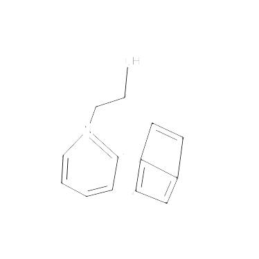 CCC[n+]1ccccc1.[I-].c1cc2ccc1-2